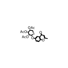 CC(=O)O[C@@H]1[C@@H](OC(C)=O)[C@H](OC(C)=O)CS[C@H]1Oc1ccc2oc(C)cc(=O)c2c1